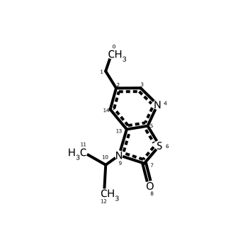 CCc1cnc2sc(=O)n(C(C)C)c2c1